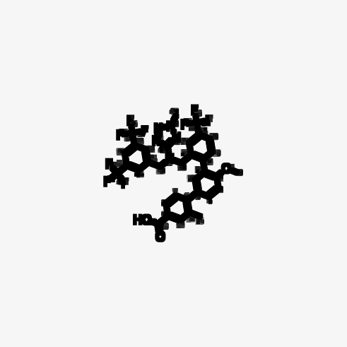 COc1ccc(-c2ccc(C(=O)O)cc2C)cc1-c1ccc(C(F)(F)F)cc1CN(Cc1cc(C(F)(F)F)cc(C(F)(F)F)c1)c1nnn(C)n1